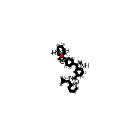 O=C(NC(c1ccccn1)C1CC1)c1ccc2[nH]nc(-c3ccc(O[C@@H]4C[C@H]5CC[C@@H](C4)N5C4COC4)cc3)c2c1